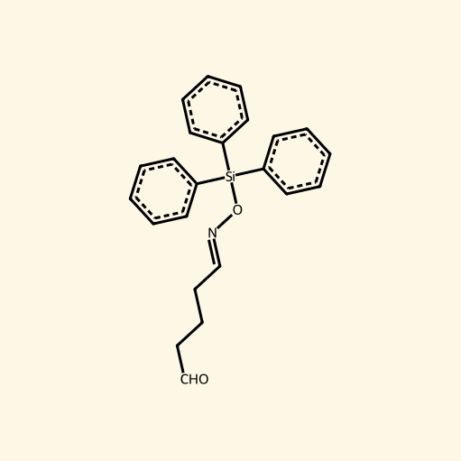 O=CCCC/C=N/O[Si](c1ccccc1)(c1ccccc1)c1ccccc1